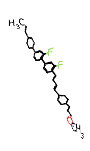 CCCC1CCC(c2ccc(-c3ccc(CCCCC4CCC(CCCOC)CC4)c(F)c3)c(F)c2)CC1